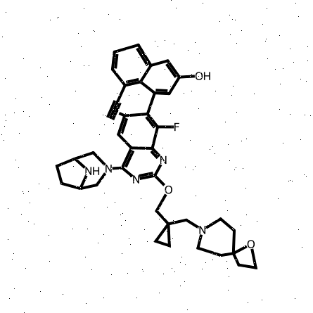 C#Cc1cccc2cc(O)cc(-c3c(F)cc4c(N5CC6CCC(C5)N6)nc(OCC5(CN6CCC7(CCO7)CC6)CC5)nc4c3F)c12